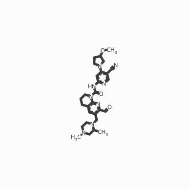 COC1CCN(c2cc(NC(=O)N3CCCc4cc(CN5CCN(C)CC5C)c(C=O)nc43)ncc2C#N)C1